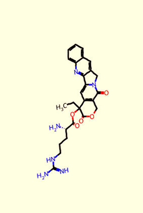 CCC1(OC(=O)[C@@H](N)CCCNC(=N)N)C(=O)OCc2c1cc1n(c2=O)Cc2cc3ccccc3nc2-1